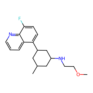 COCCNC1CC(C)CC(c2ccc(F)c3ncccc23)C1